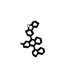 Cc1ccc2c(-c3cccc4ccccc34)c3ccccc3c(-c3ccc4oc5ccccc5c4c3)c2c1